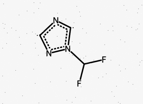 FC(F)n1[c]n[c]n1